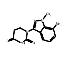 Cn1nc(N2CCC(=O)NC2=O)c2cccc(N)c21